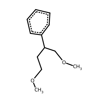 COCCC(COC)c1ccccc1